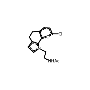 CC(=O)NCCn1ccc2c1-c1cc(Cl)ccc1CC2